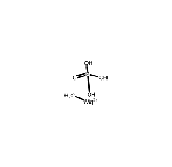 O=P(O)(O)O.[CH3][Mg+2]